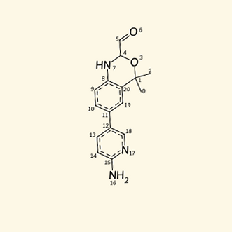 CC1(C)OC(C=O)Nc2ccc(-c3ccc(N)nc3)cc21